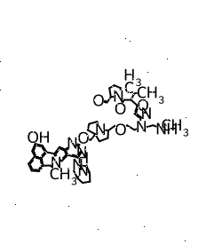 CCc1cccc2cc(O)cc(-c3cc4nc(OCC56CCCN5C(COCCN(CCNC)c5cc(C(C(=O)N7CCCC7C=O)C(C)C)on5)CC6)nc(N5CC6CCC(C5)N6)c4cn3)c12